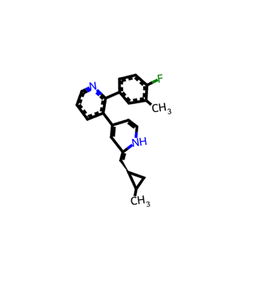 Cc1cc(-c2ncccc2C2=C/C(=C/[C@H]3CC3C)NC=C2)ccc1F